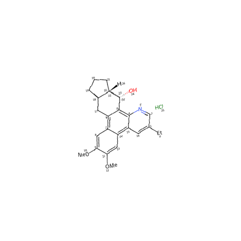 CCc1cnc2c3c(c4cc(OC)c(OC)cc4c2c1)CC1CCC[C@@H]1[C@@H]3O.Cl